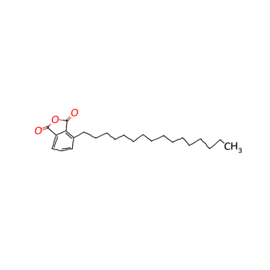 CCCCCCCCCCCCCCCCc1cccc2c1C(=O)OC2=O